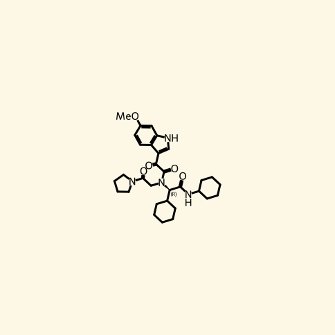 COc1ccc2c(C(=O)C(=O)N(CC(=O)N3CCCC3)[C@@H](C(=O)NC3CCCCC3)C3CCCCC3)c[nH]c2c1